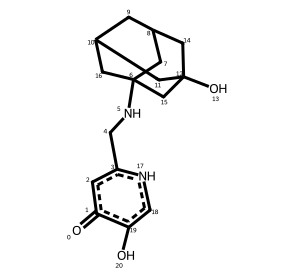 O=c1cc(CNC23CC4CC(CC(O)(C4)C2)C3)[nH]cc1O